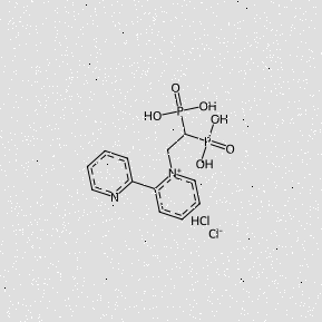 Cl.O=P(O)(O)C(C[n+]1ccccc1-c1ccccn1)P(=O)(O)O.[Cl-]